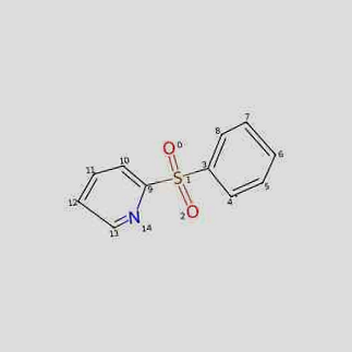 O=S(=O)(c1[c]cccc1)c1ccccn1